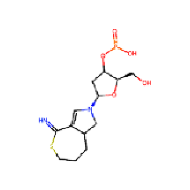 N=C1SCCCC2CN([C@H]3CC(O[PH](=O)O)[C@@H](CO)O3)C=C12